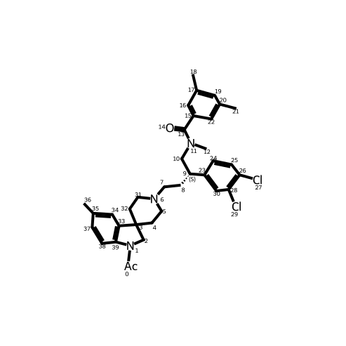 CC(=O)N1CC2(CCN(CC[C@H](CN(C)C(=O)c3cc(C)cc(C)c3)c3ccc(Cl)c(Cl)c3)CC2)c2cc(C)ccc21